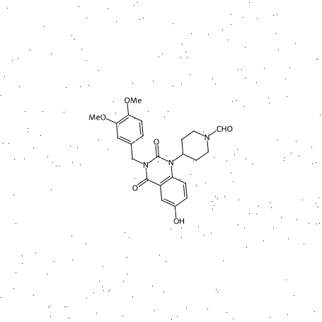 COc1ccc(Cn2c(=O)c3cc(O)ccc3n(C3CCN(C=O)CC3)c2=O)cc1OC